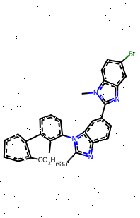 CCCCc1nc2ccc(-c3nc4cc(Br)ccc4n3C)cc2n1-c1cccc(-c2ccccc2C(=O)O)c1C